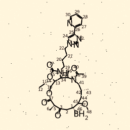 B[C@@H]1CC(=O)[C@@H](C)C(=O)O[C@H](CC)[C@@]2(C)OC(=O)N(CCCCn3cc(-c4ccccn4)nn3)[C@@H]2[C@@H](C)N(C(C)=O)C[C@H](C)C[C@@]1(C)OC